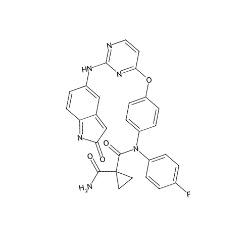 NC(=O)C1(C(=O)N(c2ccc(F)cc2)c2ccc(Oc3ccnc(Nc4ccc5c(c4)=CC(=O)N=5)n3)cc2)CC1